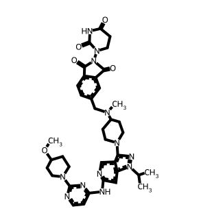 COC1CCN(c2nccc(Nc3cc4c(cn3)c(N3CCC(N(C)Cc5ccc6c(c5)C(=O)N(N5CCC(=O)NC5=O)C6=O)CC3)nn4C(C)C)n2)CC1